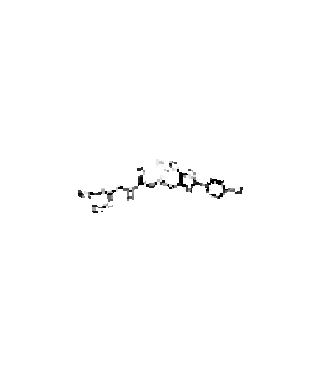 CCOC(CNC(=O)CSCc1nc(-c2ccc(Cl)cc2)oc1C)OCC